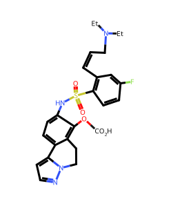 CCN(CC)C/C=C\c1cc(F)ccc1S(=O)(=O)Nc1ccc2c(c1OC(=O)O)CCn1nccc1-2